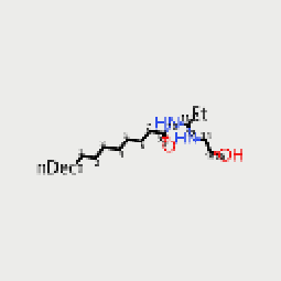 CCCCCCCCCCCCCCCCCC(=O)NC(CC)NCCO